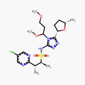 COCCC(OC)n1c(NS(=O)(=O)[C@@H](C)[C@H](C)c2ncc(Cl)cn2)nnc1[C@@H]1CC[C@H](C)O1